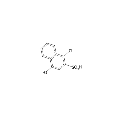 [O]c1cc(S(=O)(=O)O)c(Cl)c2ccccc12